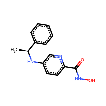 C[C@H](Nc1ccc(C(=O)NO)nc1)c1ccccc1